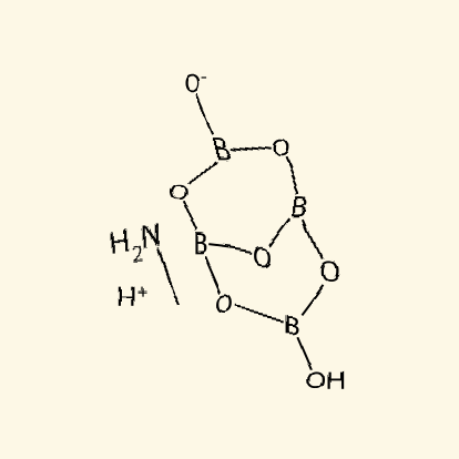 CN.[H+].[O-]B1OB2OB(O)OB(O1)O2